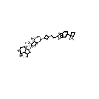 CC(C)N(C[C@H]1O[C@@H](N2CNC3C(N)NCNC32)[C@H](O)[C@@H]1O)[C@H]1C[C@H](CCC2N3CN2c2cc(C4(C)CCC4)ccc23)C1